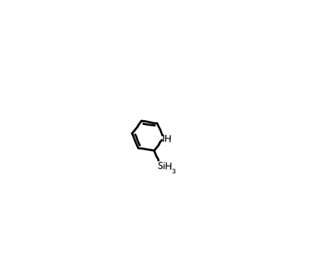 [SiH3]C1C=CC=C[IH]1